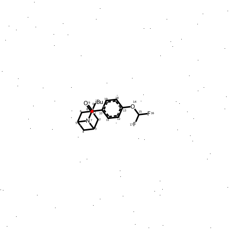 CCC(C)N1CC2CC(C1)N2C(=O)c1ccc(OC(F)F)cc1